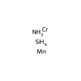 N.[Cr].[Mn].[SiH4]